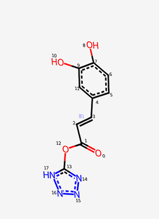 O=C(/C=C/c1ccc(O)c(O)c1)Oc1nnn[nH]1